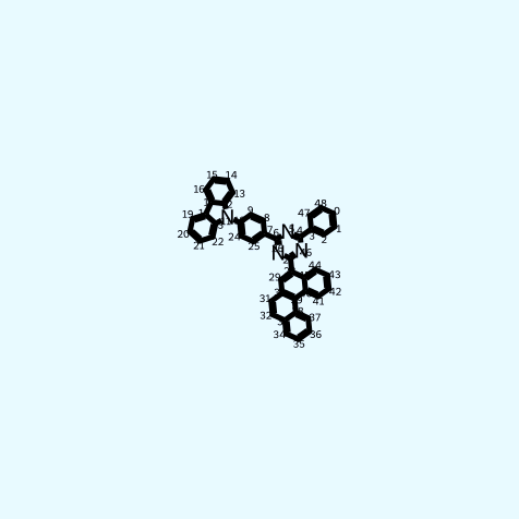 c1ccc(-c2nc(-c3ccc(-n4c5ccccc5c5ccccc54)cc3)nc(-c3cc4ccc5ccccc5c4c4ccccc34)n2)cc1